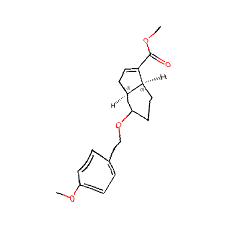 COC(=O)C1=CC[C@@H]2C(OCc3ccc(OC)cc3)CC[C@H]12